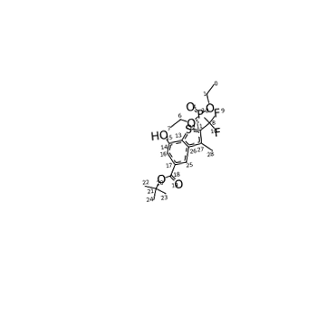 CCOP(=O)(OCC)C(F)(F)c1sc2c(O)cc(C(=O)OC(C)(C)C)cc2c1C